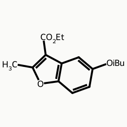 CCOC(=O)c1c(C)oc2ccc(OCC(C)C)cc12